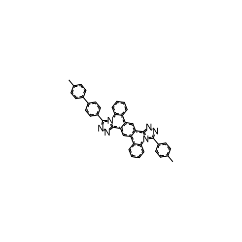 Cc1ccc(-c2ccc(-c3nnc4c5cc6c7ccccc7n7c(-c8ccc(C)cc8)nnc7c6cc5c5ccccc5n34)cc2)cc1